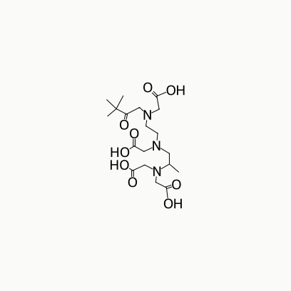 CC(CN(CCN(CC(=O)O)CC(=O)C(C)(C)C)CC(=O)O)N(CC(=O)O)CC(=O)O